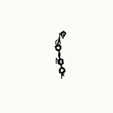 Fc1ccc(-c2ccc(C#Cc3ccc(OCCN4CCCC4)cc3)nc2)cc1